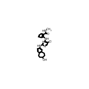 CNC(=O)C1C2C=CC(C2)C1Nc1nc(Nc2ccc3c(c2)CCC(O)CC3)ncc1Cl